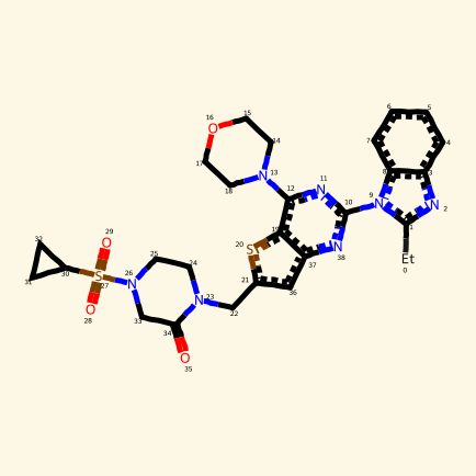 CCc1nc2ccccc2n1-c1nc(N2CCOCC2)c2sc(CN3CCN(S(=O)(=O)C4CC4)CC3=O)cc2n1